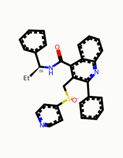 CC[C@H](NC(=O)c1c(C[S+]([O-])c2ccncc2)c(-c2ccccc2)nc2ccccc12)c1ccccc1